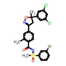 Cc1cc(C2=NOC(c3cc(Cl)cc(Cl)c3)(C(F)(F)F)C2)ccc1C(=O)N=S(C)(=O)c1cccc(Br)c1